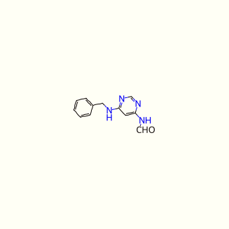 O=CNc1cc(NCc2ccccc2)ncn1